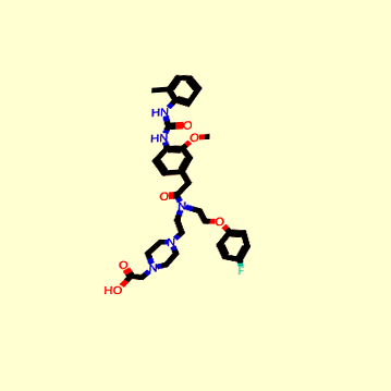 COc1cc(CC(=O)N(CCOc2ccc(F)cc2)CCN2CCN(CC(=O)O)CC2)ccc1NC(=O)Nc1ccccc1C